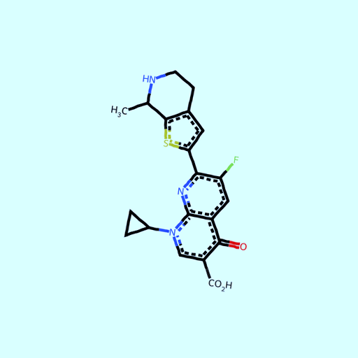 CC1NCCc2cc(-c3nc4c(cc3F)c(=O)c(C(=O)O)cn4C3CC3)sc21